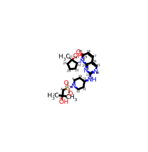 CC(C)(O)CS(=O)(=O)N1CCC(Nc2ncc3ccc(=O)n([C@@H]4CCC[C@@]4(C)O)c3n2)CC1